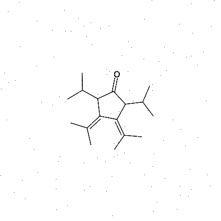 CC(C)=C1C(=C(C)C)C(C(C)C)C(=O)C1C(C)C